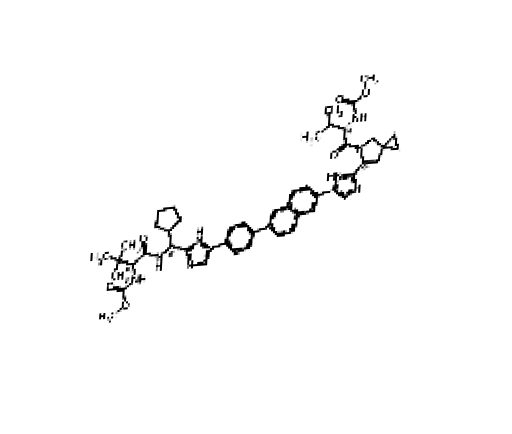 COC(=O)N[C@H](C(=O)N1CC2(CC2)C[C@H]1c1ncc(-c2ccc3cc(-c4ccc(-c5cnc([C@@H](NC(=O)[C@@H](NC(=O)OC)C(C)(C)C)C6CCCC6)[nH]5)cc4)ccc3c2)[nH]1)C(C)C